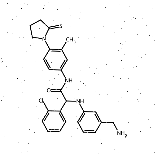 Cc1cc(NC(=O)C(Nc2cccc(CN)c2)c2ccccc2Cl)ccc1N1CCCC1=S